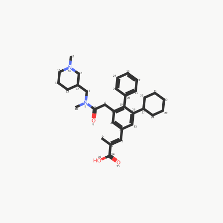 C/C(=C\c1cc(CC(=O)N(C)CC2CCCN(C)C2)c(-c2ccccc2)c(C2CCCCC2)c1)C(=O)O